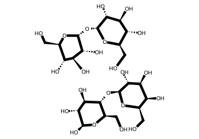 OC[C@H]1O[C@@H](O[C@H]2[C@H](O)[C@@H](O)[C@H](O)O[C@@H]2CO)[C@H](O)[C@@H](O)[C@H]1O.OC[C@H]1O[C@H](O[C@H]2O[C@H](CO)[C@@H](O)[C@H](O)[C@H]2O)[C@H](O)[C@@H](O)[C@@H]1O